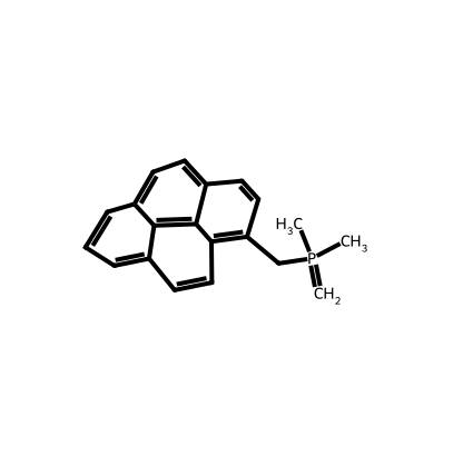 C=P(C)(C)Cc1ccc2ccc3cccc4ccc1c2c34